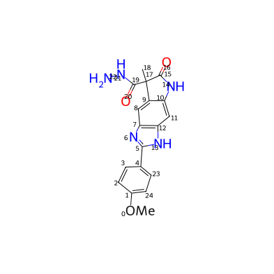 COc1ccc(-c2nc3cc4c(cc3[nH]2)NC(=O)C4(C)C(=O)NN)cc1